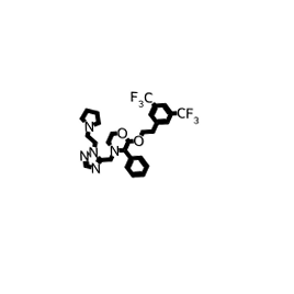 FC(F)(F)c1cc(CCOC2OCCN(Cc3ncnn3CCN3CCCC3)C2c2ccccc2)cc(C(F)(F)F)c1